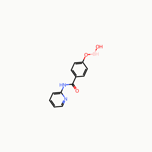 O=C(Nc1ccccn1)c1ccc(OBO)cc1